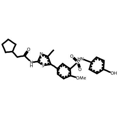 COc1ccc(-c2sc(NC(=O)CC3CCCC3)nc2C)cc1S(=O)(=O)Nc1ccc(O)cc1